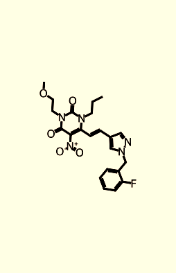 CCCn1c(/C=C/c2cnn(Cc3ccccc3F)c2)c([N+](=O)[O-])c(=O)n(CCOC)c1=O